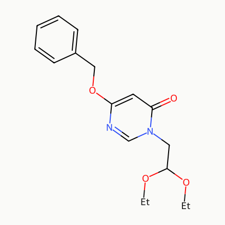 CCOC(Cn1cnc(OCc2ccccc2)cc1=O)OCC